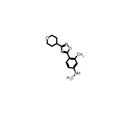 CNc1ccc(-c2nc(C3CCOCC3)no2)c(C)c1